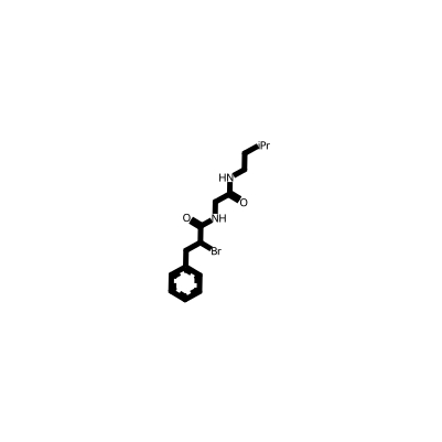 CC(C)CCNC(=O)CNC(=O)C(Br)Cc1ccccc1